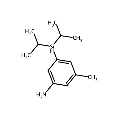 Cc1cc(N)cc([SiH](C(C)C)C(C)C)c1